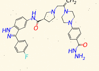 C=C(CN1CC[C@@H](C(=O)Nc2ccc3[nH]nc(-c4ccc(F)cc4)c3c2)C1)N1CCN(c2ccc(C(=O)NN)cc2)CC1